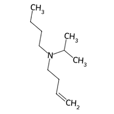 C=CCCN(CCCC)C(C)C